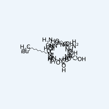 CCC(C)CC(C)CCCCCCCCC(=O)N[C@H]1C[C@@H](O)[C@@H](NCCN)NC(=O)C2[C@@H](O)CCN2C(=O)C([C@H](O)CCN)NC(=O)C([C@H](O)[C@@H](O)c2ccc(O)cc2)NC(=O)C2C[C@@H](O)CN2C(=O)C(C(C)C)NC1=O